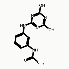 CC(=O)Nc1cccc(Nc2nc(O)nc(O)n2)c1